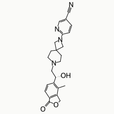 Cc1c([C@@H](O)CN2CCC3(CC2)CN(c2ccc(C#N)cn2)C3)ccc2c1COC2=O